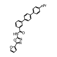 CCCc1ccc(-c2ccc(-c3cccc(C(=O)Nc4nnc(-c5ccco5)o4)c3)cc2)cc1